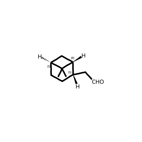 CC1(C)[C@H]2CC[C@@H](CC=O)[C@H]1C2